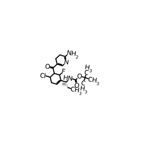 CC[C@@H](NC(=O)OC(C)(C)C)C1=CCC(Cl)C(C(=O)C2=CN=C(N)CC2)C1F